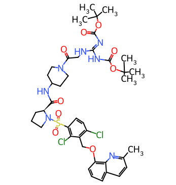 Cc1ccc2cccc(OCc3c(Cl)ccc(S(=O)(=O)N4CCC[C@H]4C(=O)NC4CCN(C(=O)CN/C(=N\C(=O)OC(C)(C)C)NC(=O)OC(C)(C)C)CC4)c3Cl)c2n1